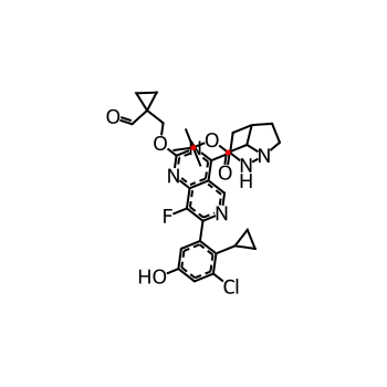 CC(C)(C)OC(=O)C1C2CCN1NC(c1nc(OCC3(C=O)CC3)nc3c(F)c(-c4cc(O)cc(Cl)c4C4CC4)ncc13)C2